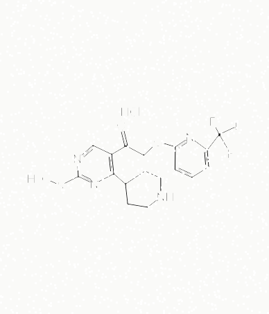 CSc1ncc(C(=O)COc2cccc(C(F)(F)F)n2)c(C2CCNCC2)n1.Cl